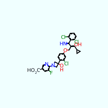 N=C(/C(COc1ccc(C2(O)CN(c3ncc(C(=O)O)cc3F)C2)c(Cl)c1)=C(\O)C1CC1)c1c(Cl)cccc1Cl